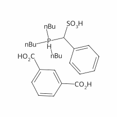 CCCC[PH](CCCC)(CCCC)C(c1ccccc1)S(=O)(=O)O.O=C(O)c1cccc(C(=O)O)c1